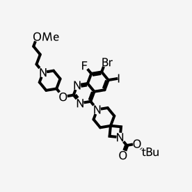 COCCCN1CCC(Oc2nc(N3CCC4(CC3)CN(C(=O)OC(C)(C)C)C4)c3cc(I)c(Br)c(F)c3n2)CC1